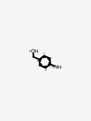 [NH]c1ccc(CO)cc1